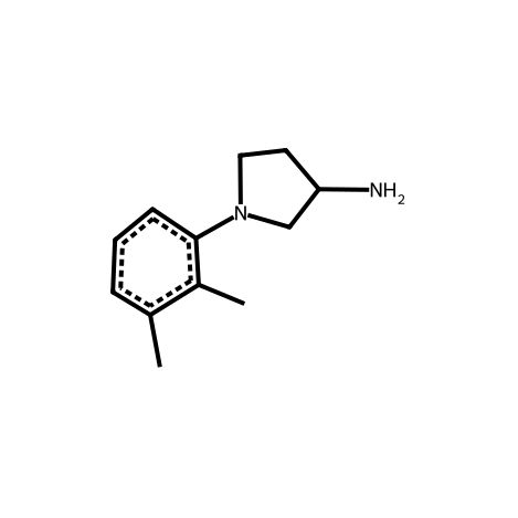 Cc1cccc(N2CCC(N)C2)c1C